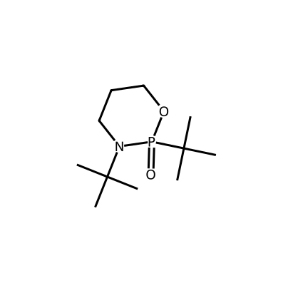 CC(C)(C)N1CCCOP1(=O)C(C)(C)C